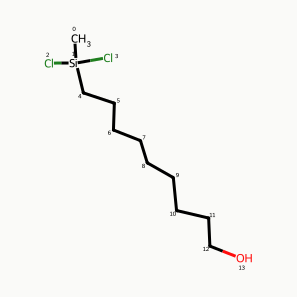 C[Si](Cl)(Cl)CCCCCCCCCO